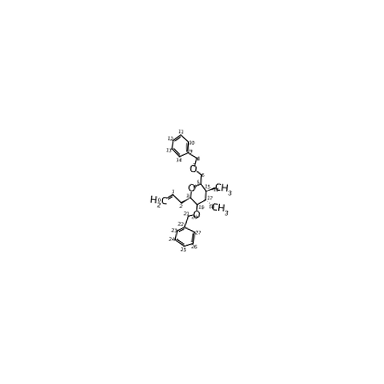 C=CC[C@H]1OC(COCc2ccccc2)[C@@H](C)[C@H](C)C1OCc1ccccc1